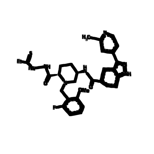 CCC(=S)NNC(=O)[C@@H]1CC[C@@H](NC(=O)c2ccc3[nH]nc(-c4ccnc(C)c4)c3c2)CN1Cc1c(F)cccc1OC